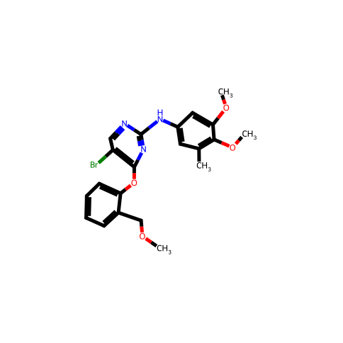 COCc1ccccc1Oc1nc(Nc2cc(C)c(OC)c(OC)c2)ncc1Br